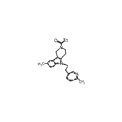 CCC(=O)N1CCc2c(c3cc(C)ccc3n2CCc2ccc(C)nc2)C1